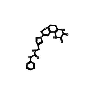 O=C(NCc1ccn(C2=CC3=C(CC2)CCc2[nH]c(=O)c(=O)[nH]c23)c1)Nc1ccccc1